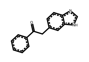 O=C(Cc1ccc2nc[nH]c2c1)c1ccccc1